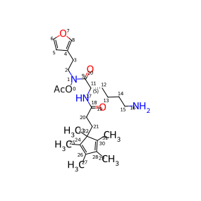 CC(=O)ON(CCc1ccoc1)C(=O)[C@H](CCCCN)NC(=O)CCC1(C)C(C)=C(C)C(C)=C1C